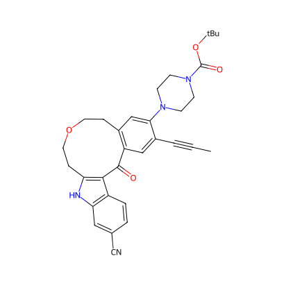 CC#Cc1cc2c(cc1N1CCN(C(=O)OC(C)(C)C)CC1)CCOCCc1[nH]c3cc(C#N)ccc3c1C2=O